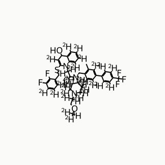 [2H]C1=C(SCc2c([2H])c([2H])c([2H])c(F)c2F)N(C([2H])([2H])C(=O)N(Cc2c([2H])c([2H])c(-c3c([2H])c([2H])c(C(F)(F)F)c([2H])c3[2H])c([2H])c2C)C2([2H])C([2H])([2H])C([2H])([2H])N(C([2H])([2H])COC([2H])([2H])[2H])C([2H])([2H])C2([2H])[2H])c2c([2H])c([2H])c([2H])c([2H])c2C1O